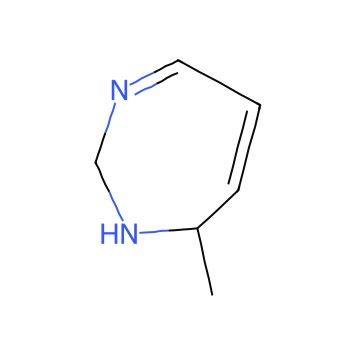 CC1C=CC=NCN1